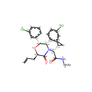 C=CC[C@H]1O[C@H](c2cccc(Cl)c2)[C@H](c2ccc(Cl)cc2)N([C@@H](C(=O)NNC(C)=O)C2CC2)C1=O